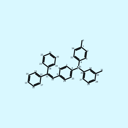 Cc1ccc(N(c2ccc(C=C(c3ccccc3)c3ccccc3)cc2)c2cccc(C)c2)cc1